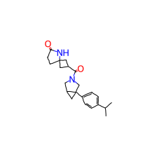 CC(C)c1ccc(C23CC2CN(C(=O)C2CC4(CCC(=O)N4)C2)C3)cc1